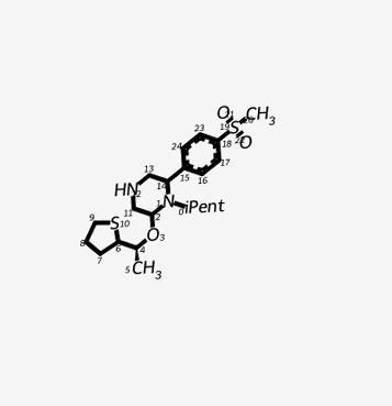 CCCC(C)N1C(O[C@@H](C)C2CCCS2)CNCC1c1ccc(S(C)(=O)=O)cc1